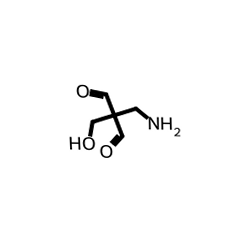 NCC(C=O)(C=O)CO